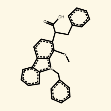 CSc1c(C(Cc2ccccc2)C(=O)O)ccc2c3ccccc3n(Cc3ccccc3)c12